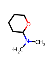 [CH2]N(C)C1CCCCO1